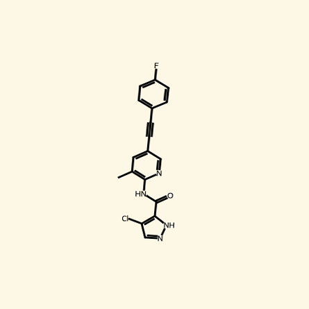 Cc1cc(C#Cc2ccc(F)cc2)cnc1NC(=O)c1[nH]ncc1Cl